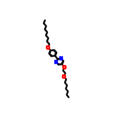 CCCCCCCCCOc1ccc(-c2ncc(OCCOCCCCCCC)cn2)cc1